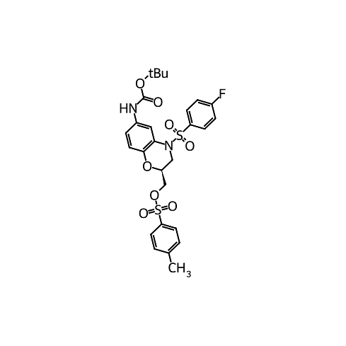 Cc1ccc(S(=O)(=O)OC[C@@H]2CN(S(=O)(=O)c3ccc(F)cc3)c3cc(NC(=O)OC(C)(C)C)ccc3O2)cc1